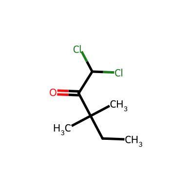 CCC(C)(C)C(=O)C(Cl)Cl